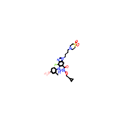 Bc1ccc(Nc2c(C(=O)NOCC3CC3)cc3c(ncn3CCCCN3CCS(=O)(=O)CC3)c2F)c(C)c1